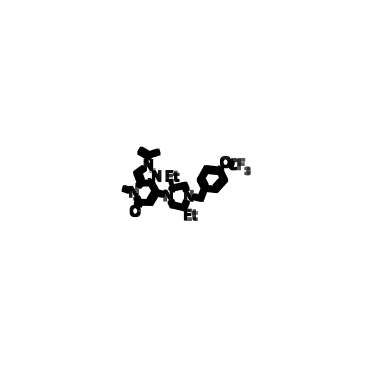 C=C(C)n1cc2c(n1)c(N1C[C@@H](CC)N(Cc3ccc(OC(F)(F)F)cc3)C[C@@H]1CC)cc(=O)n2C